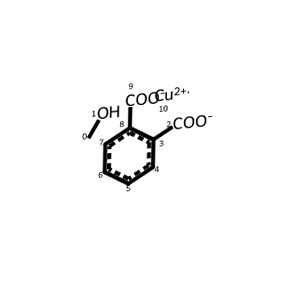 CO.O=C([O-])c1ccccc1C(=O)[O-].[Cu+2]